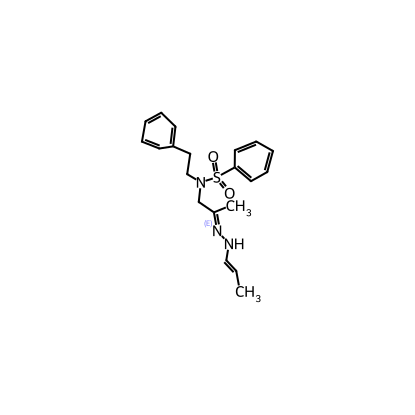 CC=CN/N=C(\C)CN(CCc1ccccc1)S(=O)(=O)c1ccccc1